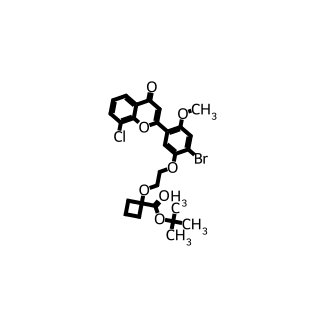 COc1cc(Br)c(OCCOC2(C(=O)OC(C)(C)C)CCC2)cc1-c1cc(=O)c2cccc(Cl)c2o1